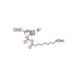 CCCCCCCCCCCCCCCCCC(=O)OC(=O)[C@H](CCC(=O)[O-])NCCCCC.[K+]